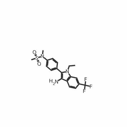 CCn1c(-c2ccc(N(C)S(C)(=O)=O)cc2)c(N)c2ccc(C(F)(F)F)cc21